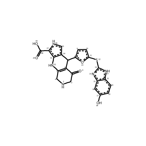 O=C1CNCC2=C1C(c1ccc(Sc3nc4cc(O)ccc4[nH]3)o1)c1c[nH]c(C(=O)O)c1N2